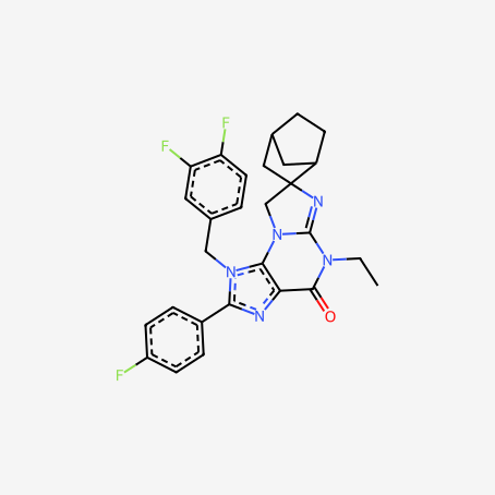 CCN1C(=O)c2nc(-c3ccc(F)cc3)n(Cc3ccc(F)c(F)c3)c2N2CC3(CC4CCC3C4)N=C12